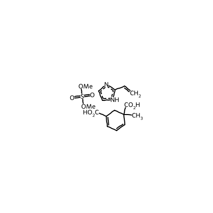 C=Cc1ncc[nH]1.CC1(C(=O)O)C=CC=C(C(=O)O)C1.COS(=O)(=O)OC